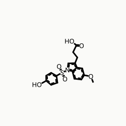 COc1ccc2c(c1)c(CCC(=O)O)cn2S(=O)(=O)c1ccc(O)cc1